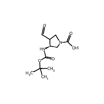 CC(C)(C)OC(=O)N[C@@H]1CN(C(=O)O)CC1C=O